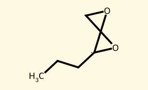 CCC[C]1OC12CO2